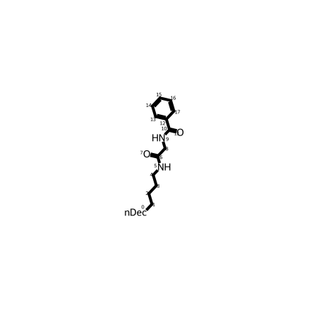 CCCCCCCCCCCCCCNC(=O)CNC(=O)c1ccccc1